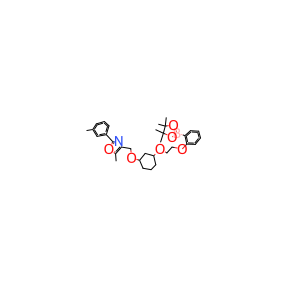 Cc1cccc(-c2nc(COC3CCCC(OCCOc4ccccc4B4OC(C)(C)C(C)(C)O4)C3)c(C)o2)c1